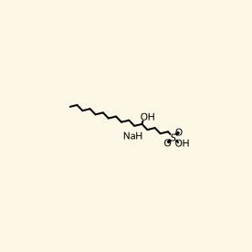 CCCCCCCCCCCC(O)CCCCS(=O)(=O)O.[NaH]